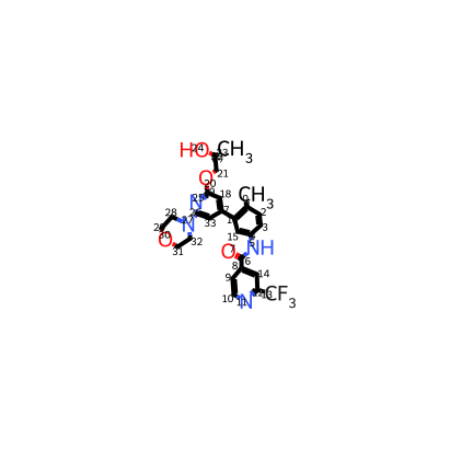 Cc1ccc(NC(=O)c2ccnc(C(F)(F)F)c2)cc1-c1cc(OC[C@@H](C)O)nc(N2CCOCC2)c1